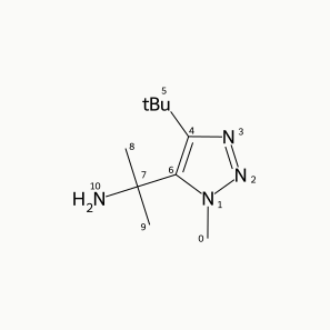 Cn1nnc(C(C)(C)C)c1C(C)(C)N